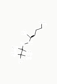 BCC/C=C(\O)BOC(C)(C)C(C)(C)O